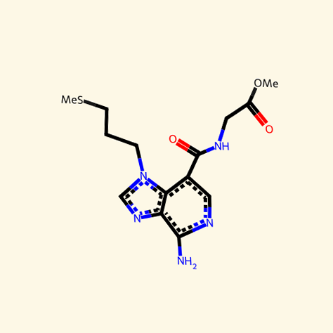 COC(=O)CNC(=O)c1cnc(N)c2ncn(CCCSC)c12